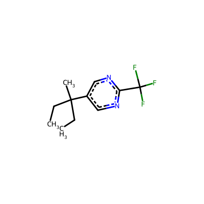 CCC(C)(CC)c1cnc(C(F)(F)F)nc1